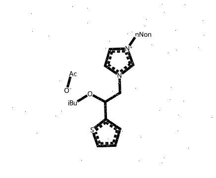 CC(=O)[O-].CCCCCCCCC[n+]1ccn(CC(OC(C)CC)c2cccs2)c1